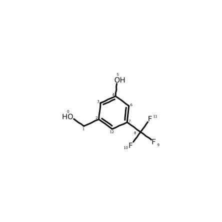 OCc1cc(O)cc(C(F)(F)F)c1